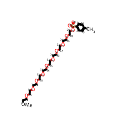 COCCOCCOCCOCCOCCOCCOCCOCCOCCOCCOS(=O)(=O)c1ccc(C)cc1